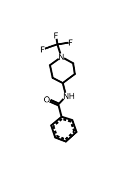 O=C(NC1CCN(C(F)(F)F)CC1)c1ccccc1